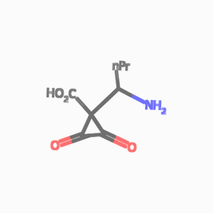 CCCC(N)C1(C(=O)O)C(=O)C1=O